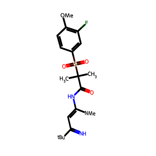 CN/C(=C\C(=N)C(C)(C)C)NC(=O)C(C)(C)S(=O)(=O)c1ccc(OC)c(F)c1